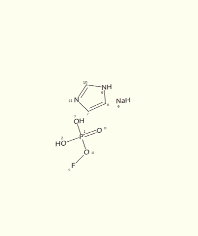 O=P(O)(O)OF.[NaH].c1c[nH]cn1